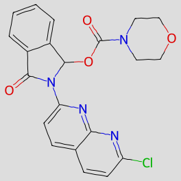 O=C(OC1c2ccccc2C(=O)N1c1ccc2ccc(Cl)nc2n1)N1CCOCC1